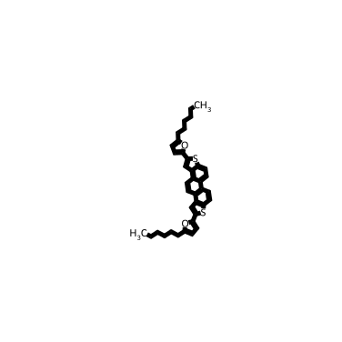 CCCCCCc1ccc(-c2cc3c(ccc4c3ccc3c5cc(-c6ccc(CCCCCC)o6)sc5ccc34)s2)o1